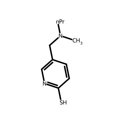 CCCN(C)Cc1ccc(S)nc1